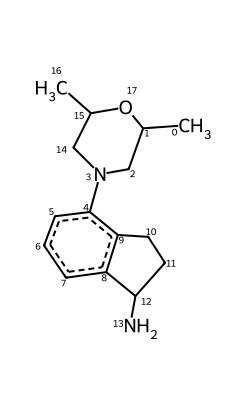 CC1CN(c2cccc3c2CCC3N)CC(C)O1